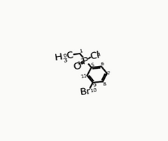 CCP(=O)(Cl)c1cccc(Br)c1